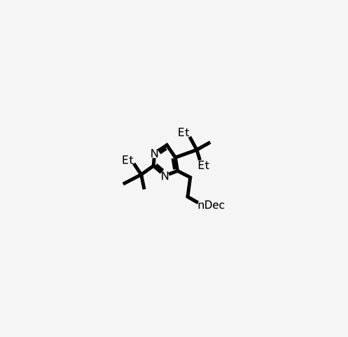 CCCCCCCCCCCCc1nc(C(C)(C)CC)ncc1C(C)(CC)CC